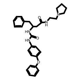 O=C(CC(Cc1ccccc1)NC(=O)Nc1ccc(Oc2ccccc2)cc1)NCCN1CCCC1